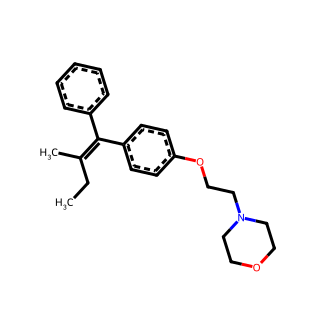 CC/C(C)=C(/c1ccccc1)c1ccc(OCCN2CCOCC2)cc1